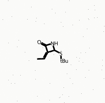 C/C=C1\C(=O)NC1SC(C)(C)C